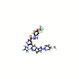 Cc1cnc(-n2cc3c(n2)-c2cc(-c4cc(C(=O)Nc5ccc(OC(F)(F)Cl)cc5)cnc4N4CC[C@@H](F)C4)cnc2C3)nc1